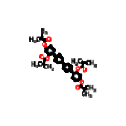 C=C(C)C(=O)Oc1ccc(-c2ccc(-c3ccc(-c4ccc(OC(=O)C(=C)C)cc4OC(=O)C(=C)C)cc3)cc2)c(OC(=O)C(=C)C)c1